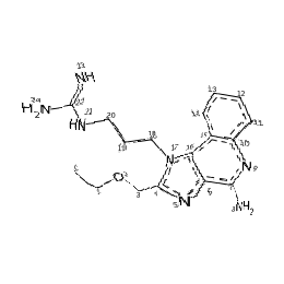 CCOCc1nc2c(N)nc3ccccc3c2n1CCCNC(=N)N